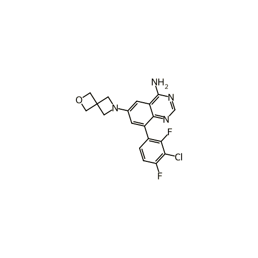 Nc1ncnc2c(-c3ccc(F)c(Cl)c3F)cc(N3CC4(COC4)C3)cc12